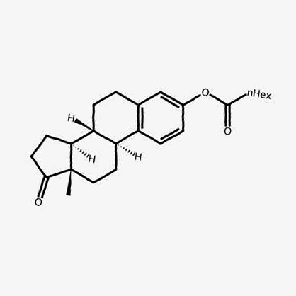 CCCCCCC(=O)Oc1ccc2c(c1)CC[C@@H]1[C@@H]2CC[C@]2(C)C(=O)CC[C@@H]12